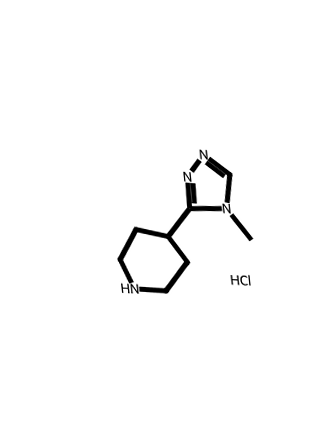 Cl.Cn1cnnc1C1CCNCC1